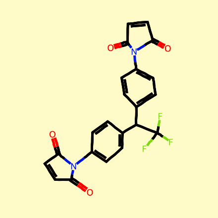 O=C1C=CC(=O)N1c1ccc(C(c2ccc(N3C(=O)C=CC3=O)cc2)C(F)(F)F)cc1